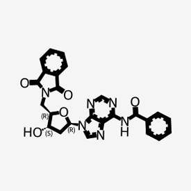 O=C(Nc1ncnc2c1ncn2[C@H]1C[C@H](O)[C@@H](CN2C(=O)c3ccccc3C2=O)O1)c1ccccc1